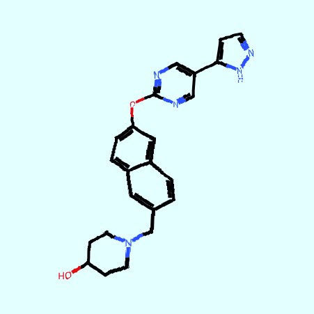 OC1CCN(Cc2ccc3cc(Oc4ncc(-c5ccn[nH]5)cn4)ccc3c2)CC1